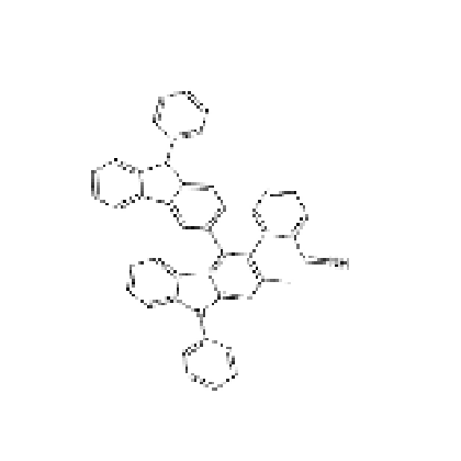 Cc1cc2c(c(-c3ccc4c(c3)-c3ccccc3C4c3ccccc3)c1-c1ccccc1C=N)c1ccccc1n2-c1ccccc1